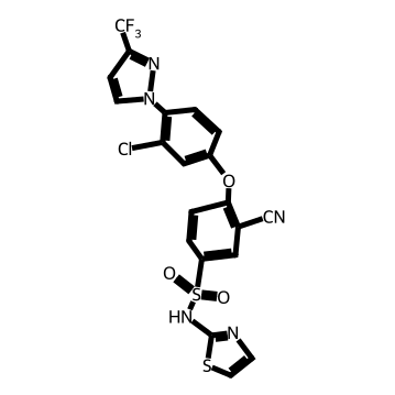 N#Cc1cc(S(=O)(=O)Nc2nccs2)ccc1Oc1ccc(-n2ccc(C(F)(F)F)n2)c(Cl)c1